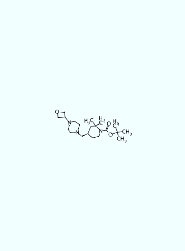 CC(C)(C)OC(=O)N1CC[C@@H](CN2CCN(C3COC3)CC2)CC1(C)C